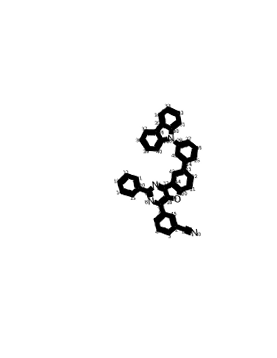 N#Cc1cccc(-c2nc(-c3ccccc3)nc3c2oc2ccc(-c4cccc(-n5c6ccccc6c6ccccc65)c4)cc23)c1